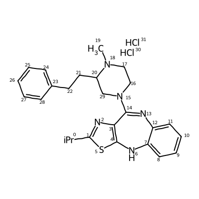 CC(C)c1nc2c(s1)Nc1ccccc1N=C2N1CCN(C)C(CCc2ccccc2)C1.Cl.Cl